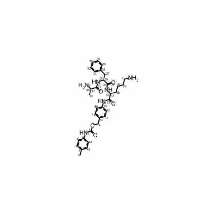 Cc1ccc(NC(=O)OCc2ccc(NC(=O)[C@H](CCCCN)NC(=O)[C@H](Cc3ccccc3)NC(=O)[C@@H](C)N)cc2)cc1